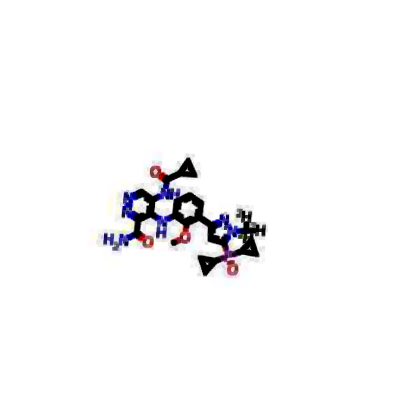 [2H]C([2H])([2H])n1nc(-c2cccc(Nc3c(NC(=O)C4CC4)cnnc3C(N)=O)c2OC)cc1P(=O)(C1CC1)C1CC1